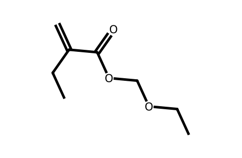 C=C(CC)C(=O)OCOCC